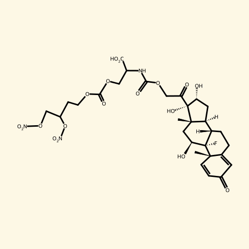 C[C@]12C=CC(=O)C=C1CC[C@H]1[C@@H]3C[C@@H](O)[C@](O)(C(=O)COC(=O)NC(COC(=O)OCCC(CO[N+](=O)[O-])O[N+](=O)[O-])C(=O)O)[C@@]3(C)C[C@H](O)[C@@]12F